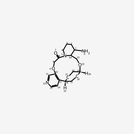 NC1CCCN2C(=O)COc3cnccc3[C@H]3CC[C@H](CC3)OCC12